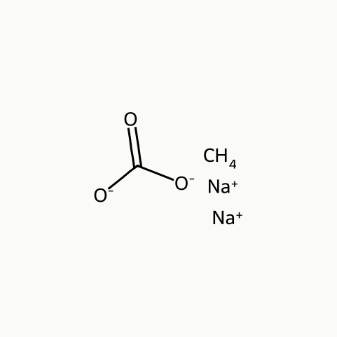 C.O=C([O-])[O-].[Na+].[Na+]